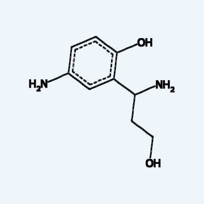 Nc1ccc(O)c(C(N)CCO)c1